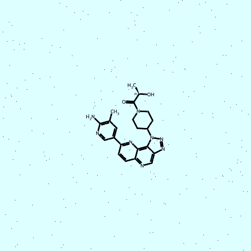 Cc1cc(-c2ccc3ncc4nnn(C5CCN(C(=O)[C@@H](C)O)CC5)c4c3n2)cnc1N